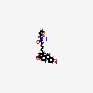 COc1ccc2c(c1)CC[C@H]1[C@@H]3[C@H](CCCCCC(=O)NCc4ccco4)CC(=O)[C@@]3(C)CC[C@H]21